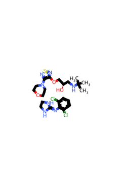 CC(C)(C)NC[C@H](O)COc1nsnc1N1CCOCC1.Clc1cccc(Cl)c1N=C1NCCN1